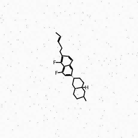 C/C=C/CCc1ccc2cc([C@@H]3CC[C@@H]4CC(C)CCC4C3)cc(F)c2c1F